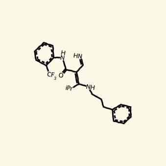 CC(C)/C(NCCCc1ccccc1)=C(/C=N)C(=O)Nc1ccccc1C(F)(F)F